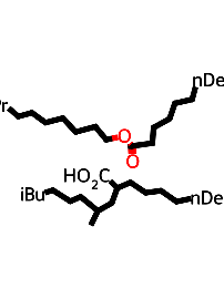 CCCCCCCCCCCCCCC(CC(C)CCCC(C)CC)C(=O)O.CCCCCCCCCCCCCCCC(=O)OCCCCCCCC(C)C